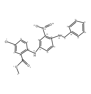 COC(=O)c1cc(Cl)ccc1Nc1ccc(NCc2ccccc2)c([N+](=O)[O-])c1